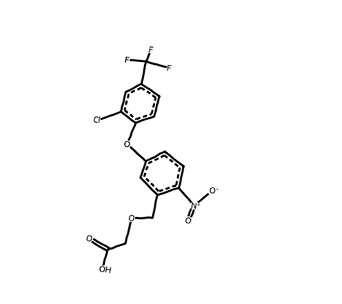 O=C(O)COCc1cc(Oc2ccc(C(F)(F)F)cc2Cl)ccc1[N+](=O)[O-]